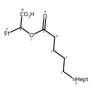 CCCCCCCCCCCC(=O)OC(CC)C(=O)O